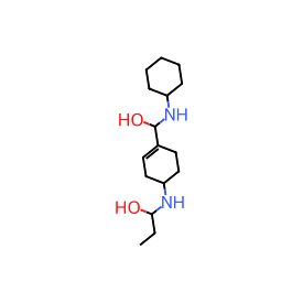 CCC(O)NC1CC=C(C(O)NC2CCCCC2)CC1